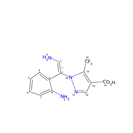 N/C=C(\c1ccccc1N)n1ncc(C(=O)O)c1C(F)(F)F